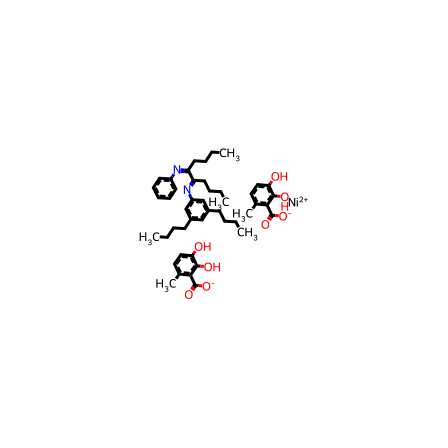 CCCCC(=Nc1ccccc1)C(CCCC)=Nc1cc(CCCC)cc(CCCC)c1.Cc1ccc(O)c(O)c1C(=O)[O-].Cc1ccc(O)c(O)c1C(=O)[O-].[Ni+2]